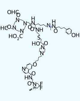 C#C[C@H]1CC(F)(F)CN1C(=O)CNC(=O)c1ccnc2ccc(OCCCCN3CCN(C(=O)C(O)CSCCNC(=O)C(CCCC/N=C(\C)NC(=O)CCCc4ccc(O)cc4)NC(=O)CN4CCN(COC=O)CCN(COC=O)CCN(CC(=O)O)CC4)CC3)cc12